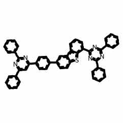 c1ccc(-c2cc(-c3ccc(-c4ccc5sc6c(-c7nc(-c8ccccc8)nc(-c8ccccc8)n7)cccc6c5c4)cc3)nc(-c3ccccc3)n2)cc1